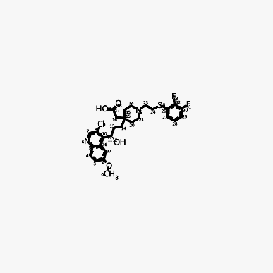 COc1ccc2ncc(Cl)c([C@@H](O)CCC3(CC(=O)O)CCN(CCSc4cccc(F)c4F)CC3)c2c1